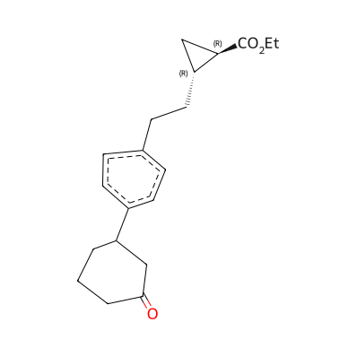 CCOC(=O)[C@@H]1C[C@H]1CCc1ccc(C2CCCC(=O)C2)cc1